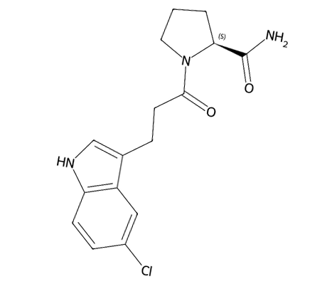 NC(=O)[C@@H]1CCCN1C(=O)CCc1c[nH]c2ccc(Cl)cc12